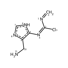 C=N/C(Cl)=N\c1[nH]cnc1CN